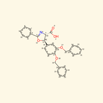 O=C(O)[C@H]1N=C(c2ccccc2)O[C@@H]1c1ccc(OCc2ccccc2)c(OCc2ccccc2)c1